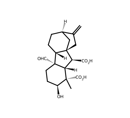 C=C1C[C@]23C[C@H]1CC[C@H]2[C@]1(C=O)CC[C@H](O)[C@@](C)(C(=O)O)[C@H]1[C@@H]3C(=O)O